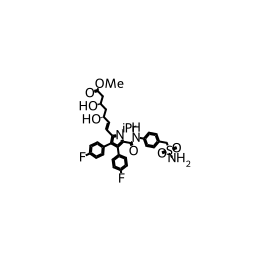 COC(=O)C[C@H](O)C[C@@H](O)C=Cc1c(-c2ccc(F)cc2)c(-c2ccc(F)cc2)c(C(=O)Nc2ccc(CS(N)(=O)=O)cc2)n1C(C)C